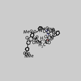 C=CCOC(=O)N1/C(=C/C(OCc2cccc(COc3cc4c(cc3OC)C(=O)N3CC=C(c5ccc(S(=O)(=O)NC)cc5)CC3C(OC)N4C(=O)OCC=C)n2)=C(\C)OC)C(=C)C(=O)N2c3ccccc3C[C@H]2C1OC1CCCCO1